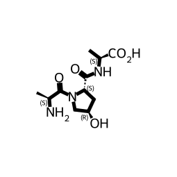 C[C@H](N)C(=O)N1C[C@H](O)C[C@H]1C(=O)N[C@@H](C)C(=O)O